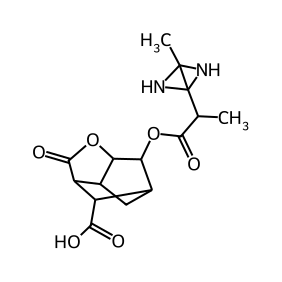 CC(C(=O)OC1C2CC3C1OC(=O)C3C2C(=O)O)C12NC1(C)N2